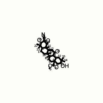 COC(=O)C12CCC3(C)C(C(=O)C=C4C5(C)C(CCC43C)C(C)(C)C(=O)C3(C#N)OC35)C1CC(C)(C)C(O)C2